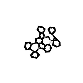 C1=CC2=C(c3ccccc3)C2(NCn2c3ccccc3c3cc4c5c(c6ccccc6n5-c5ccccc5-c5ccccc5-4)c32)C=C1